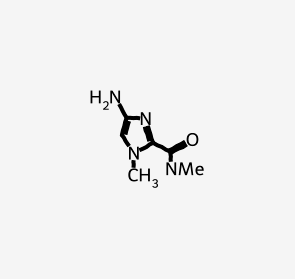 CNC(=O)c1nc(N)cn1C